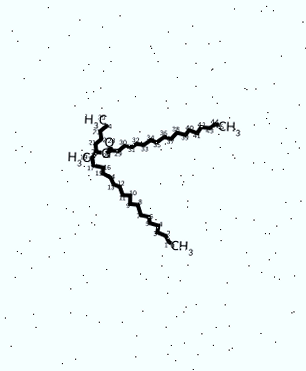 CCCCCCCCCCCCCCCCCCC(C)C(CCCCC)OC(=O)CCCCCCCCCCCCCCCCC